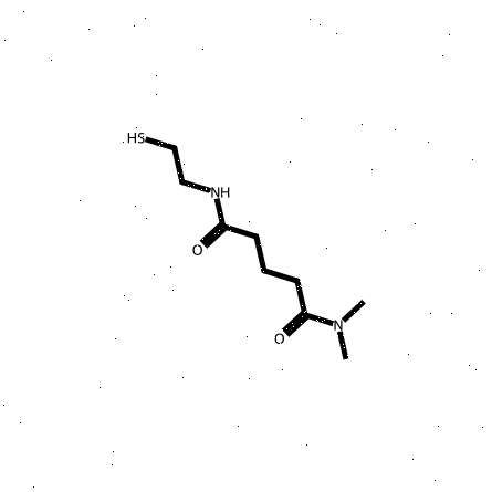 CN(C)C(=O)CCCC(=O)NCCS